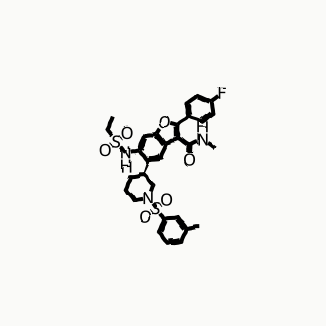 CCS(=O)(=O)Nc1cc2oc(-c3ccc(F)cc3)c(C(=O)NC)c2cc1[C@@H]1CCCN(S(=O)(=O)c2cccc(C)c2)C1